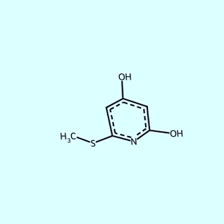 CSc1cc(O)cc(O)n1